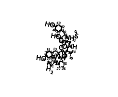 CSCC[C@H](NC(=O)[C@@H](NC(=O)[C@H](Cc1ccc(O)cc1)NC(=O)[C@@H]1CCCN1C(=O)CN)C(C)C)C(=O)N[C@@H](Cc1ccc(O)cc1)C(=O)O